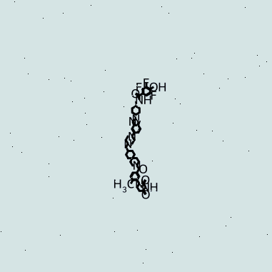 Cc1ccc(C(=O)N2CCC3(CCC(CN4CCN(c5ccc6cn([C@H]7CC[C@H](CNC(=O)c8cc(F)c(O)c(F)c8F)CC7)nc6c5)CC4)CC3)CC2)cc1N1CCC(=O)NC1=O